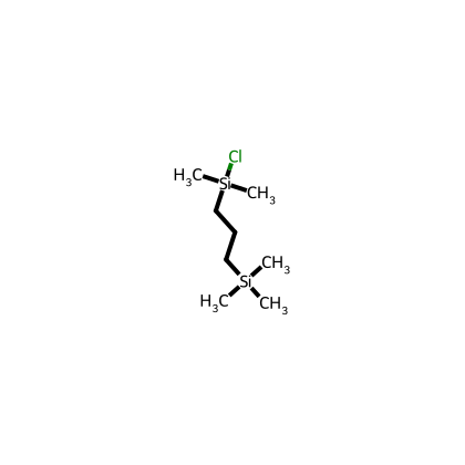 C[Si](C)(C)CCC[Si](C)(C)Cl